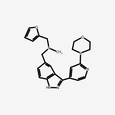 CN(Cc1ccc2[nH]nc(-c3ccnc(N4CCOCC4)c3)c2c1)Cc1ccco1